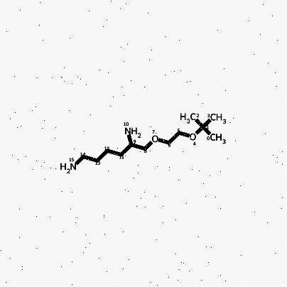 CC(C)(C)OCCOCC(N)CCCCN